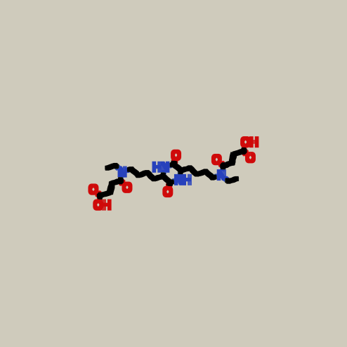 CCN(CCCCC1NC(=O)C(CCCCN(CC)C(=O)/C=C/C(=O)O)NC1=O)C(=O)/C=C/C(=O)O